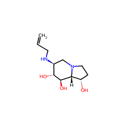 C=CCN[C@H]1CN2CC[C@H](O)[C@@H]2[C@@H](O)[C@@H]1O